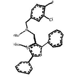 CCCCN(Cc1ccc(F)c(Cl)c1)Cc1c(-c2ccccc2)nc(-c2ccccc2)n1CCCC